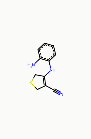 N#CC1=C(Nc2ccccc2N)CSC1